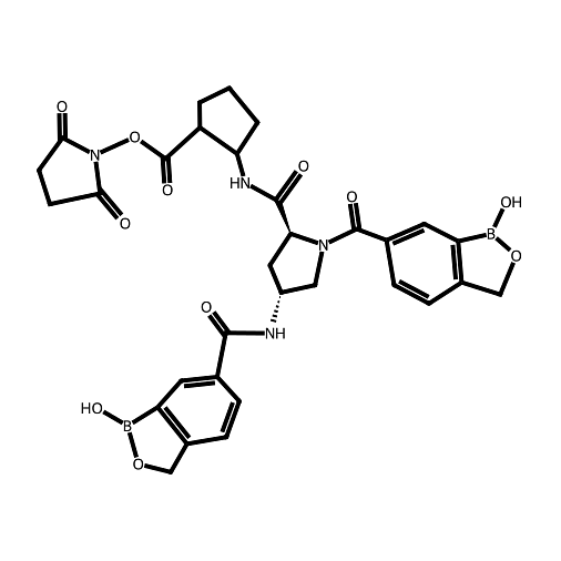 O=C(N[C@@H]1C[C@@H](C(=O)NC2CCCC2C(=O)ON2C(=O)CCC2=O)N(C(=O)c2ccc3c(c2)B(O)OC3)C1)c1ccc2c(c1)B(O)OC2